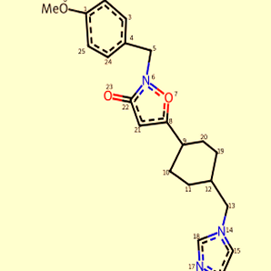 COc1ccc(Cn2oc(C3CCC(Cn4ccnc4)CC3)cc2=O)cc1